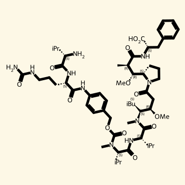 CC[C@H](C)[C@@H]([C@@H](CC(=O)N1CCC[C@H]1[C@H](OC)[C@@H](C)C(=O)N[C@@H](Cc1ccccc1)C(=O)O)OC)N(C)C(=O)[C@@H](NC(=O)[C@H](C(C)C)N(C)C(=O)OCc1ccc(NC(=O)[C@H](CCCNC(N)=O)NC(=O)[C@@H](N)C(C)C)cc1)C(C)C